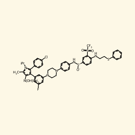 Cc1c(N(C)O)c(-c2cc(F)cc(N3CCN(c4ccc(N[S+]([O-])c5ccc(NCCSc6ccccc6)c(S(=O)(=O)C(F)(F)F)c5)cc4)CC3)c2)c(-c2ccc(Cl)cc2)n1C(C)C